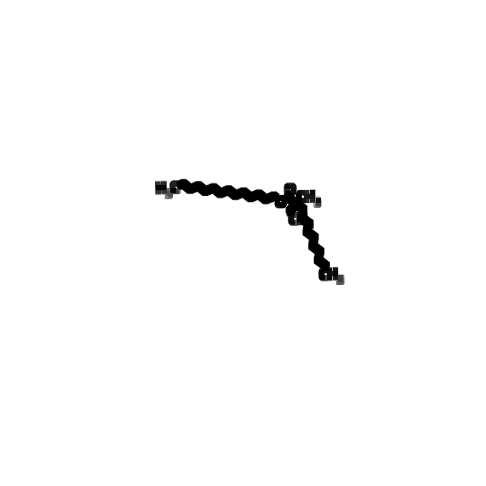 CCCCCCCCCCCCCCOC(=O)C(C)(CC)CCCCCCCCCC